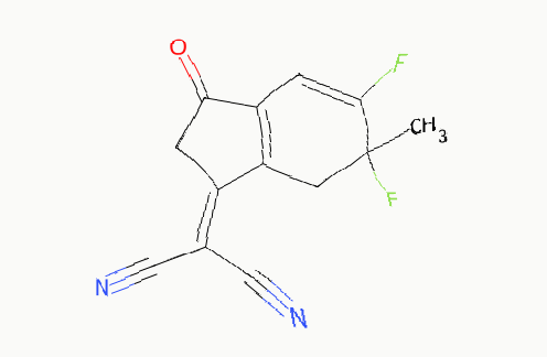 CC1(F)CC2=C(C=C1F)C(=O)CC2=C(C#N)C#N